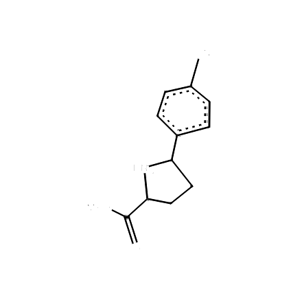 COC(=O)C1CCC(c2ccc(C#N)cc2)N1